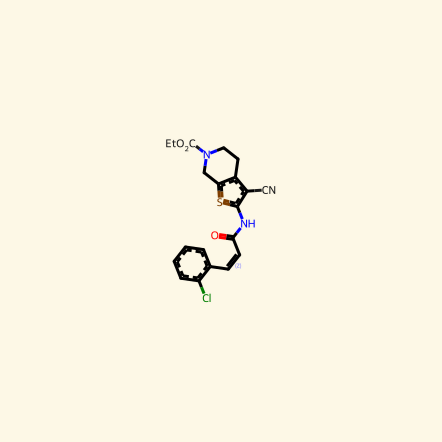 CCOC(=O)N1CCc2c(sc(NC(=O)/C=C\c3ccccc3Cl)c2C#N)C1